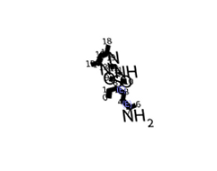 C=C/C(=C\C=C(/C)N)S(=O)(=O)Nc1nc(C)cc(C)n1